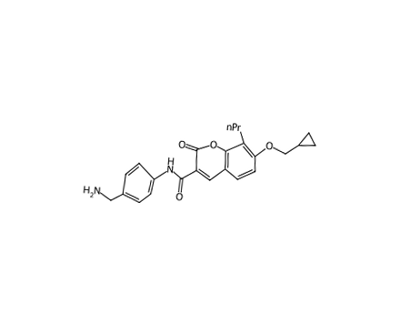 CCCc1c(OCC2CC2)ccc2cc(C(=O)Nc3ccc(CN)cc3)c(=O)oc12